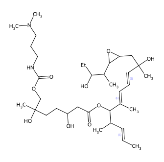 C/C=C/C(C)C(OC(=O)CC(O)CCC(C)(O)COC(=O)NCCCN(C)C)/C(C)=C/C=C/C(C)(O)CC1OC1C(C)C(O)CC